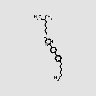 CCCCCCc1ccc(-c2ccc(-c3ncc(OCCCCC[C@@H](C)CC)cn3)cc2)cc1